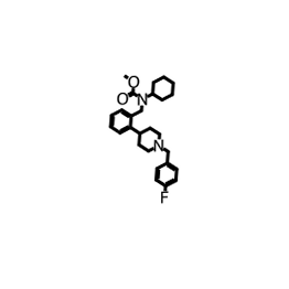 COC(=O)N(Cc1ccccc1C1CCN(Cc2ccc(F)cc2)CC1)C1CCCCC1